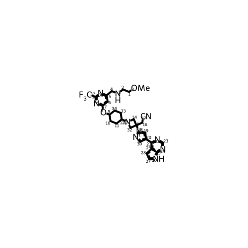 COCCNCc1cc(OC2CCC(N3CC(CC#N)(n4cc(-c5ncnc6[nH]ccc56)cn4)C3)CC2)nc(C(F)(F)F)n1